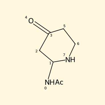 CC(=O)NC1CC(=O)CCN1